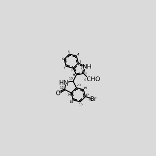 O=Cc1[nH]c2ccccc2c1C1NC(=O)c2ccc(Br)cc21